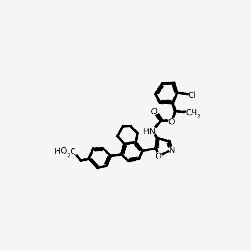 CC(OC(=O)Nc1cnoc1-c1ccc(-c2ccc(CC(=O)O)cc2)c2c1CCCC2)c1ccccc1Cl